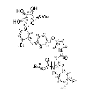 CCc1ccc([C@@H]2O[C@H](SC)[C@@H](O)[C@H](O)[C@H]2O)cc1Cc1ccc(O[C@@H]2CCN(C(=O)C[C@@H](Cc3cc(F)c(F)cc3F)NC(=O)OC(C)(C)C)C2)cc1